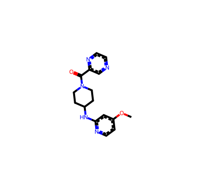 COc1ccnc(NC2CCN(C(=O)c3cnccn3)CC2)c1